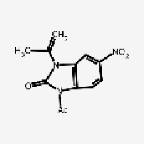 C=C(C)n1c(=O)n(C(C)=O)c2ccc([N+](=O)[O-])cc21